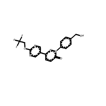 O=c1ccc(-c2cnc(OCC(F)(F)F)nc2)nn1-c1ccc(CO)cc1